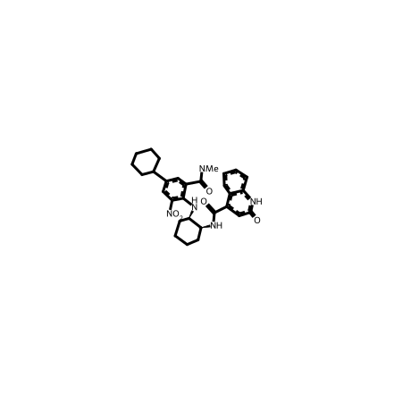 CNC(=O)c1cc(C2CCCCC2)cc([N+](=O)[O-])c1N[C@@H]1CCCC[C@@H]1NC(=O)c1cc(=O)[nH]c2ccccc12